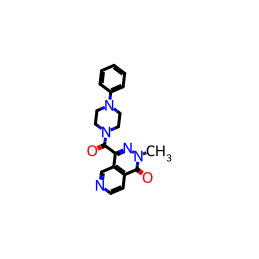 Cn1nc(C(=O)N2CCN(c3ccccc3)CC2)c2cnccc2c1=O